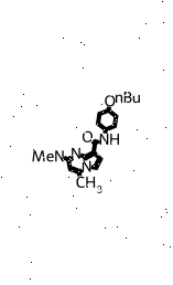 CCCCOC1CCC(NC(=O)c2ccn3c(C)cc(NC)nc23)CC1